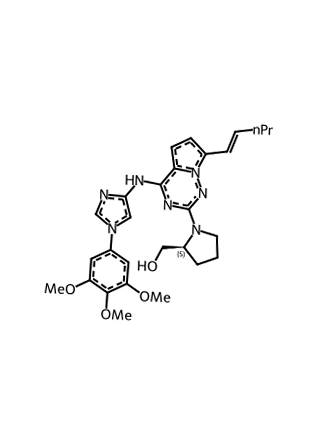 CCCC=Cc1ccc2c(Nc3cn(-c4cc(OC)c(OC)c(OC)c4)cn3)nc(N3CCC[C@H]3CO)nn12